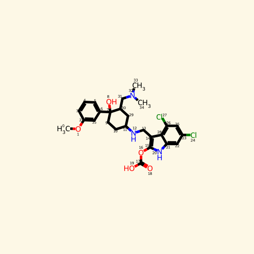 COc1cccc(C2(O)CCC(NCc3c(OC(=O)O)[nH]c4cc(Cl)cc(Cl)c34)CC2CN(C)C)c1